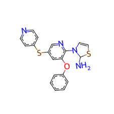 NC1SC=CN1c1ncc(Sc2ccncc2)cc1Oc1ccccc1